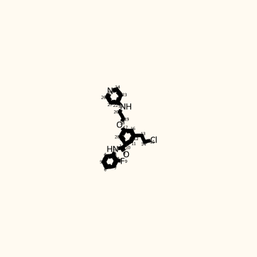 O=C(Nc1ccccc1F)c1cc(CCCl)cc(OCCNc2ccncc2)c1